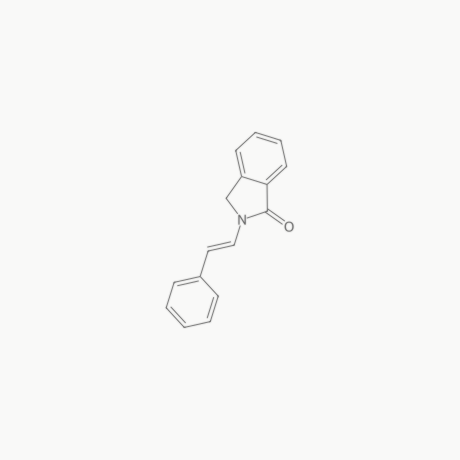 O=C1c2ccccc2CN1/C=C/c1ccccc1